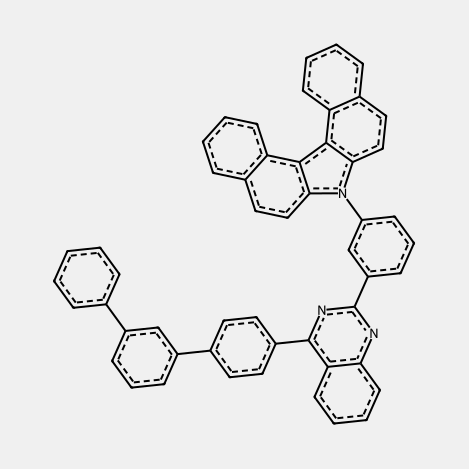 c1ccc(-c2cccc(-c3ccc(-c4nc(-c5cccc(-n6c7ccc8ccccc8c7c7c8ccccc8ccc76)c5)nc5ccccc45)cc3)c2)cc1